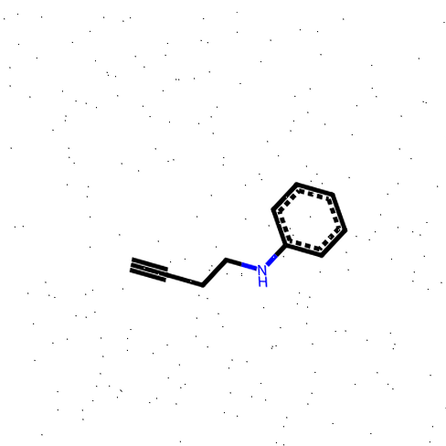 C#CCCNc1ccccc1